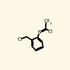 FC(F)(F)C(Cl)=Nc1ccccc1CCl